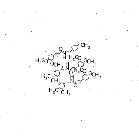 CCc1ccc(CCNC(=O)/C=C/c2ccc(OC)c(OC)c2)cc1.COc1ccc(/C=C/C(=O)NCCc2ccc(C(C)C)cc2)cc1OC.COc1ccc(/C=C/C(=O)NCCc2ccc(C)c(C)c2)cc1OC